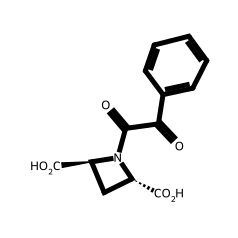 O=C(C(=O)N1[C@H](C(=O)O)C[C@H]1C(=O)O)c1ccccc1